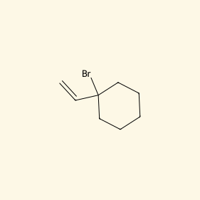 C=CC1(Br)CCCCC1